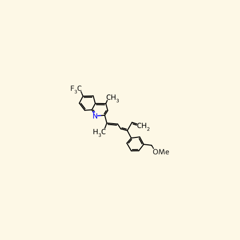 C=C/C(=C\C=C(/C)c1cc(C)c2cc(C(F)(F)F)ccc2n1)c1cccc(COC)c1